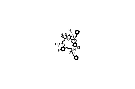 C[C@H](CC[C@H](C(=O)N(C)[C@H](C)C(=O)C[C@H](Cc1ccc(Cl)cc1)C(=O)OCc1ccccc1)C1CC1)Oc1cc(F)ccc1CCCNC(=O)OCc1ccccc1